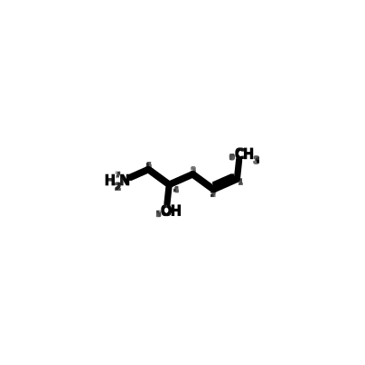 C/C=C\CC(O)CN